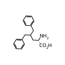 N[C@@H](CC(Cc1ccccc1)Cc1ccccc1)C(=O)O